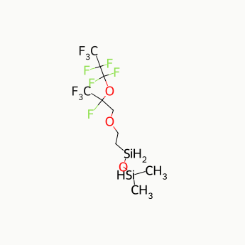 C[SiH](C)O[SiH2]CCOCC(F)(OC(F)(F)C(F)(F)C(F)(F)F)C(F)(F)F